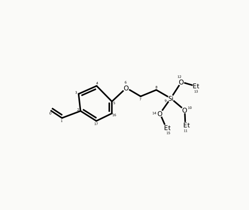 C=Cc1ccc(OCC[Si](OCC)(OCC)OCC)cc1